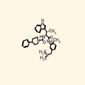 Cc1ccc(CN(C)C)cc1NC(=O)[C@H](NC(=O)N1CCC(c2ccccc2)CC1)[C@@H](C)c1c[nH]c2ccccc12